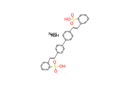 O=S(=O)(O)c1ccccc1C=Cc1ccc(-c2ccc(C=Cc3ccccc3S(=O)(=O)O)cc2)cc1.[NaH].[NaH]